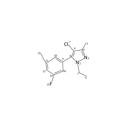 CCn1nc(C)c(Cl)c1-c1cc(C)cc(F)c1